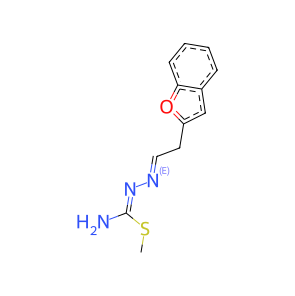 CSC(N)=N/N=C/Cc1cc2ccccc2o1